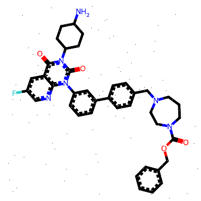 NC1CCC(n2c(=O)c3cc(F)cnc3n(-c3cccc(-c4ccc(CN5CCCN(C(=O)OCc6ccccc6)CC5)cc4)c3)c2=O)CC1